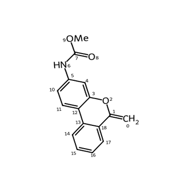 C=C1Oc2cc(NC(=O)OC)ccc2-c2ccccc21